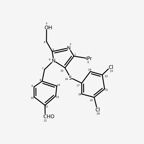 CC(C)c1nc(CO)n(Cc2ccc(C=O)cc2)c1Sc1cc(Cl)cc(Cl)c1